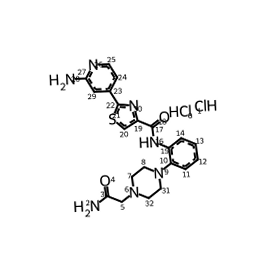 Cl.Cl.NC(=O)CN1CCN(c2ccccc2NC(=O)c2csc(-c3ccnc(N)c3)n2)CC1